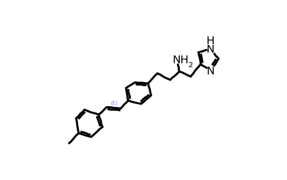 Cc1ccc(/C=C/c2ccc(CCC(N)Cc3c[nH]cn3)cc2)cc1